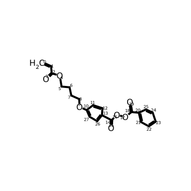 C=CC(=O)OCCCCOc1ccc(C(=O)OOC(=O)c2ccccc2)cc1